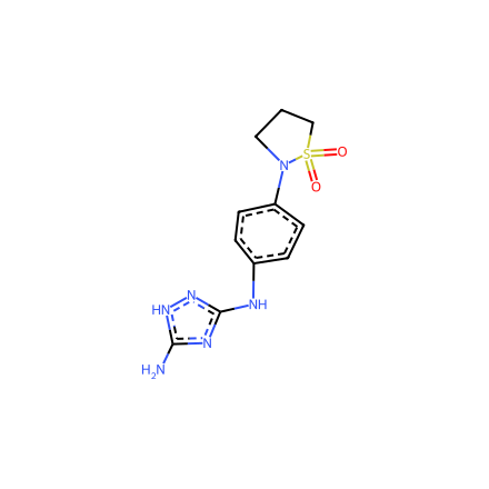 Nc1nc(Nc2ccc(N3CCCS3(=O)=O)cc2)n[nH]1